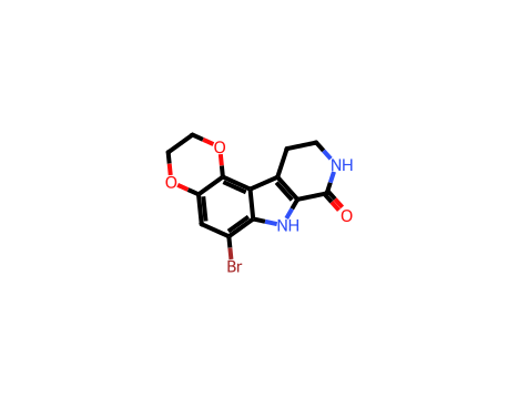 O=C1NCCc2c1[nH]c1c(Br)cc3c(c21)OCCO3